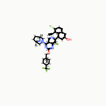 C#Cc1c(F)ccc2cc(O)cc(-c3ncc4c(N5C[C@H]6CC[C@@H](C5)N6)nc(OCC56CCC(C(F)(F)F)(CC5)CC6)nc4c3F)c12